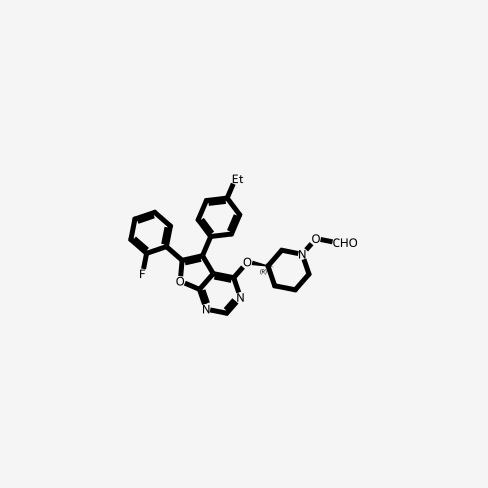 CCc1ccc(-c2c(-c3ccccc3F)oc3ncnc(O[C@@H]4CCCN(OC=O)C4)c23)cc1